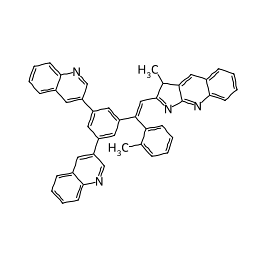 Cc1ccccc1/C(=C\C1=Nc2nc3ccccc3cc2C1C)c1cc(-c2cnc3ccccc3c2)cc(-c2cnc3ccccc3c2)c1